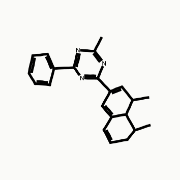 Cc1nc(C2=CC(C)C3C(=C2)C=CCC3C)nc(-c2ccccc2)n1